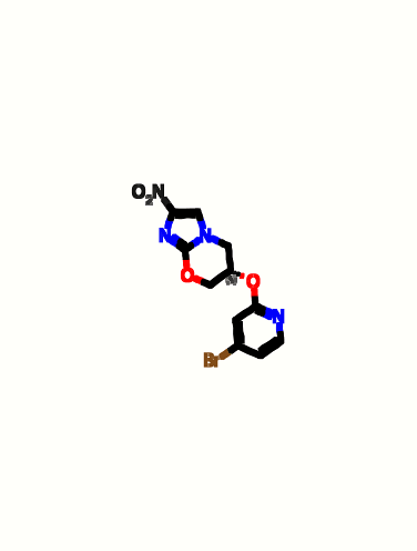 O=[N+]([O-])c1cn2c(n1)OC[C@@H](Oc1cc(Br)ccn1)C2